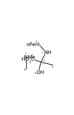 CCCCCNC(C)(O)C(=O)O.CNC